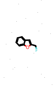 FCc1cc2ccccc2o1